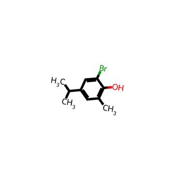 Cc1cc(C(C)C)cc(Br)c1O